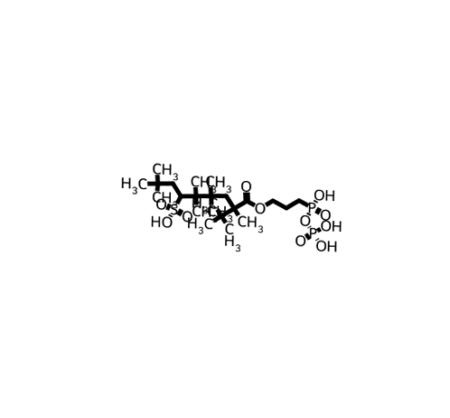 CC(C)(C)CC(C(C)(C)C(C)(C)CC(C)(C(=O)OCCCP(=O)(O)OP(=O)(O)O)C(C)(C)C)S(=O)(=O)O